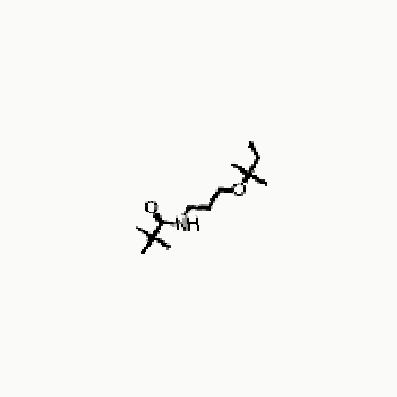 CCC(C)(C)OCCCNC(=O)C(C)(C)C